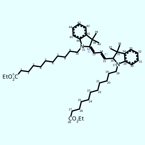 CCOC(=O)CCCCCCCCCCN1/C(=C/C=C/C2N(CCCCCCCCCCC(=O)OCC)c3ccccc3C2(C)C)C(C)(C)c2ccccc21